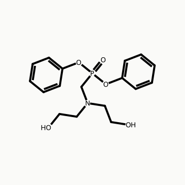 O=P(CN(CCO)CCO)(Oc1ccccc1)Oc1ccccc1